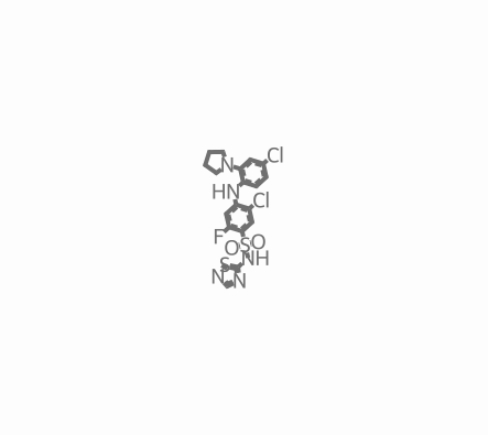 O=S(=O)(Nc1ncns1)c1cc(Cl)c(Nc2ccc(Cl)cc2N2CCCC2)cc1F